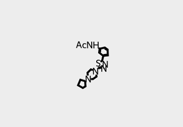 CC(=O)Nc1cccc(-c2nnc(N3CCN(C4CCCC4)CC3)s2)c1